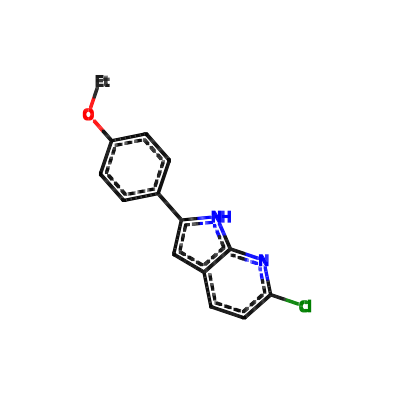 CCOc1ccc(-c2cc3ccc(Cl)nc3[nH]2)cc1